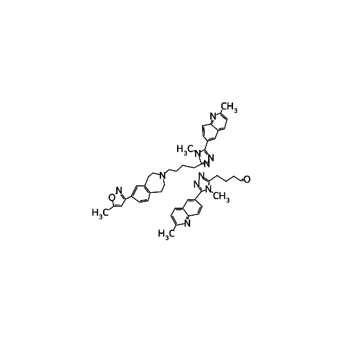 Cc1ccc2cc(-c3nnc(CCCC=O)n3C)ccc2n1.Cc1ccc2cc(-c3nnc(CCCCN4CCc5ccc(-c6cc(C)on6)cc5CC4)n3C)ccc2n1